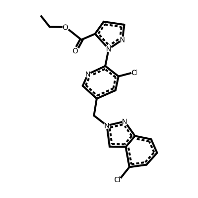 CCOC(=O)c1ccnn1-c1ncc(Cn2cc3c(Cl)cccc3n2)cc1Cl